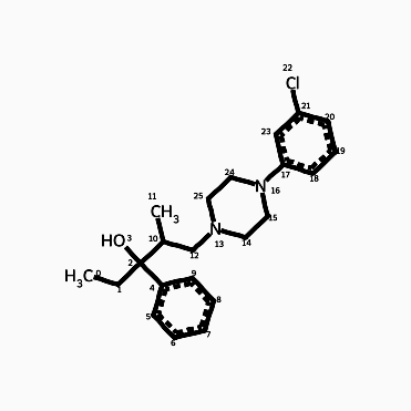 CCC(O)(c1ccccc1)C(C)CN1CCN(c2cccc(Cl)c2)CC1